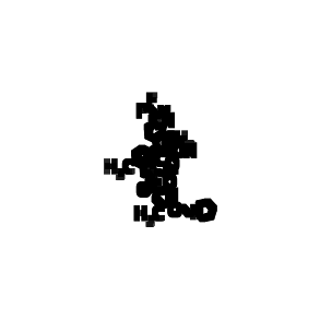 Cc1ccc(C(c2ccn3c(C(F)F)nnc3c2C)C(C)(C)C(=O)O)nc1CN1CC2(CC2)Oc2nc(OCCN3CCCCC3)c(C)cc2[S+]1[O-]